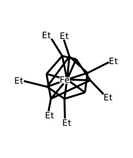 CC[C]12[CH]3[C]4(CC)[C]5(CC)[CH]1[Fe]32451678[CH]2[C]1(CC)[C]6(CC)[C]7(CC)[C]28CC